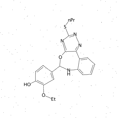 CCCSc1nnc2c(n1)OC(c1ccc(O)c(OCC)c1)Nc1ccccc1-2